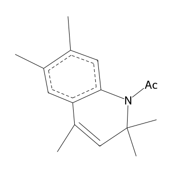 CC(=O)N1c2cc(C)c(C)cc2C(C)=CC1(C)C